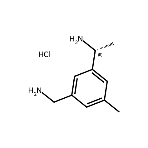 Cc1cc(CN)cc([C@@H](C)N)c1.Cl